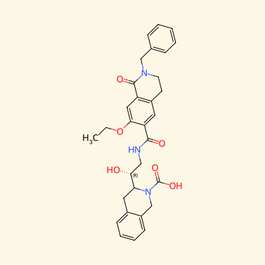 CCOc1cc2c(cc1C(=O)NC[C@@H](O)C1Cc3ccccc3CN1C(=O)O)CCN(Cc1ccccc1)C2=O